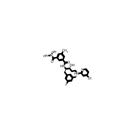 CCCN(CCC)C(=O)c1cc(C)cc(C(=O)N[C@H](Cc2cc(F)cc(F)c2)[C@H](O)CCNc2cc(CC)ccn2)c1